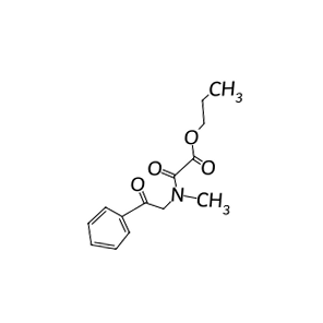 CCCOC(=O)C(=O)N(C)CC(=O)c1ccccc1